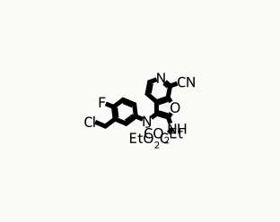 CCOC(=O)Nc1oc2c(C#N)nccc2c1N(C(=O)OCC)c1ccc(F)c(CCl)c1